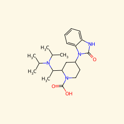 CC(C)N(C(C)C)C(C)C1CC(n2c(=O)[nH]c3ccccc32)CCN1C(=O)O